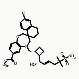 CC(C)(C)OC(=O)c1ccc2c(c1)N(C[C@@H]1CC[C@H]1[C@@H](O)/C=C/CC(C)(C)S(N)(=O)=O)CC1(CCCc3cc(Cl)ccc31)CO2